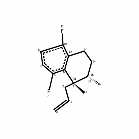 C=CC[C@]1(C)c2c(F)ccc(F)c2CC[C@@H]1C